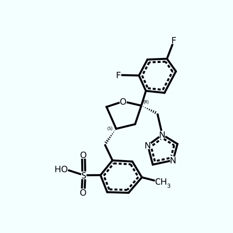 Cc1ccc(S(=O)(=O)O)c(C[C@@H]2CO[C@@](Cn3cncn3)(c3ccc(F)cc3F)C2)c1